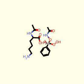 CC(=O)NC(CCCCN)C(=O)O.CC(=O)NO[As](=O)(OO)c1ccccc1